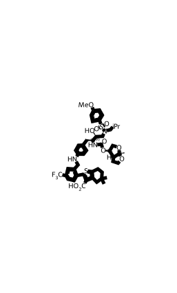 COc1ccc(S(=O)(=O)N(CC(C)C)C[C@@H](O)[C@H](Cc2ccc(NCc3cc(C(F)(F)F)ccc3-c3sc4c(c3C(=O)O)CC(C)(C)CC4)cc2)NC(=O)O[C@H]2CO[C@@]3(C)OCC[C@@H]23)cc1